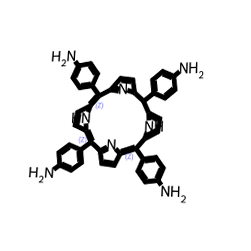 Nc1ccc(/C2=C3\C=CC(=N3)/C(c3ccc(N)cc3)=c3/cc/c([nH]3)=C(\c3ccc(N)cc3)C3=NC(C=C3)C(c3ccc(N)cc3)c3ccc2[nH]3)cc1